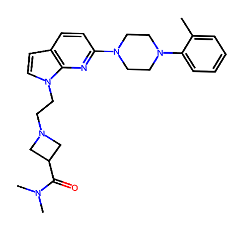 Cc1ccccc1N1CCN(c2ccc3ccn(CCN4CC(C(=O)N(C)C)C4)c3n2)CC1